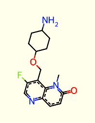 Cn1c(=O)ccc2ncc(F)c(COC3CCC(N)CC3)c21